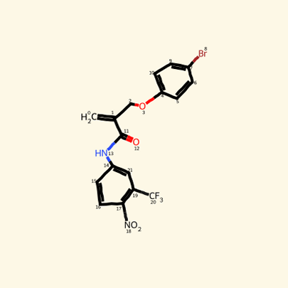 C=C(COc1ccc(Br)cc1)C(=O)Nc1ccc([N+](=O)[O-])c(C(F)(F)F)c1